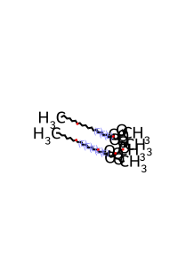 CCCCCCCCC/C=C/C=C/C=C/C=C/C=C/C(=O)OC(COCC)COCC.CCCCCCCCCCCCC/C=C/C=C/C=C/C(=O)OC(COC(C)=O)COC(C)=O